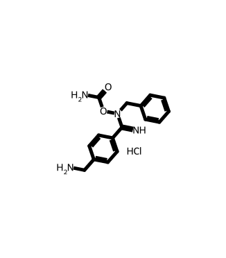 Cl.N=C(c1ccc(CN)cc1)N(Cc1ccccc1)OC(N)=O